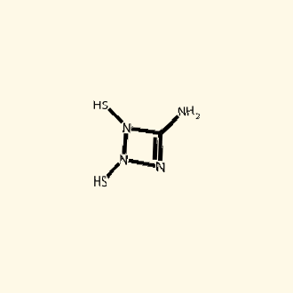 Nc1nn(S)n1S